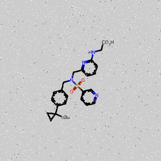 CCCCC1(c2ccc(CN(Cc3cccc(NCC(=O)O)n3)S(=O)(=O)c3cccnc3)cc2)CC1